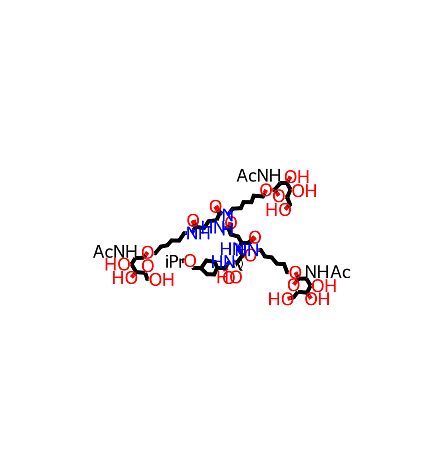 CC(=O)NC1C(OCCCCCCNC(=O)CCC(NC(=O)CCC(NC(=O)[C@@H](CO)NC(=O)C2CCC(COC(C)C)CC2)C(=O)NCCCCCCOC2OC(CO)C(O)C(O)C2NC(C)=O)C(=O)NCCCCCCOC2OC(CO)C(O)C(O)C2NC(C)=O)OC(CO)C(O)C1O